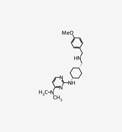 COc1ccc(CNC[C@H]2CC[C@@H](Nc3nccc(N(C)C)n3)CC2)cc1